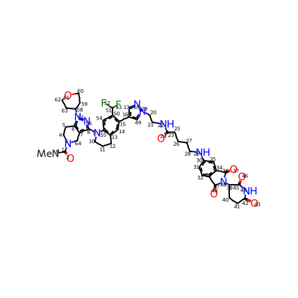 CNC(=O)N1CCc2c(c(N3CCCc4cc(-c5cnn(CCNC(=O)CCCCNc6ccc7c(c6)C(=O)N(C6CCC(=O)NC6=O)C7=O)c5)c(C(F)F)cc43)nn2C2CCOCC2)C1